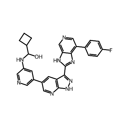 OC(Nc1cncc(-c2cnc3[nH]nc(-c4nc5c(-c6ccc(F)cc6)cncc5[nH]4)c3c2)c1)C1CCC1